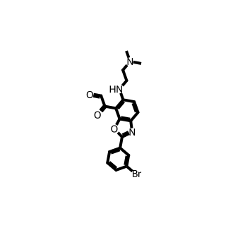 CN(C)CCNc1ccc2nc(-c3cccc(Br)c3)oc2c1C(=O)C=O